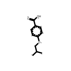 CC(C)COc1ccc(C(=O)O)cc1